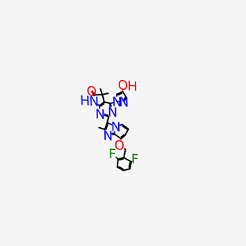 Cc1nc2c(OCc3c(F)cccc3F)cccn2c1-c1nc2c(c(-n3cc(O)cn3)n1)C(C)(C)C(=O)N2